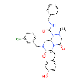 CN1CC(=O)N2C(CN(Cc3cccc(Cl)c3)C(=O)[C@@H]2Cc2ccc(O)cc2)N1C(=O)NCc1ccccc1